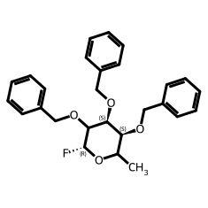 CC1O[C@H](F)C(OCc2ccccc2)[C@@H](OCc2ccccc2)[C@H]1OCc1ccccc1